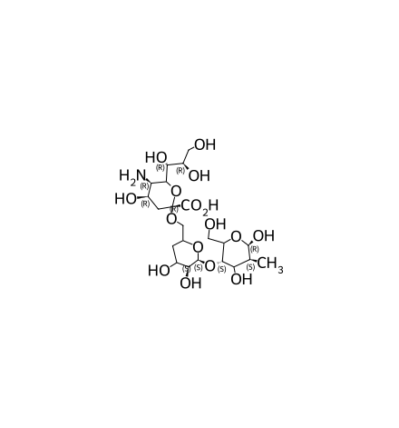 C[C@H]1C(O)[C@H](O[C@@H]2OC(CO[C@]3(C(=O)O)C[C@@H](O)[C@@H](N)C([C@H](O)[C@H](O)CO)O3)CC(O)[C@@H]2O)C(CO)O[C@H]1O